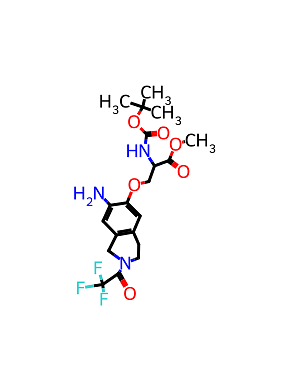 COC(=O)C(COc1cc2c(cc1N)CN(C(=O)C(F)(F)F)CC2)NC(=O)OC(C)(C)C